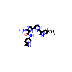 CC1(C)Cc2c(-c3nccc(-c4cnc(N)c(C(=O)NC5CCC6(CC6)NC5)n4)n3)cnn2C1